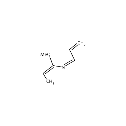 C=C/C=N\C(=C/C)OC